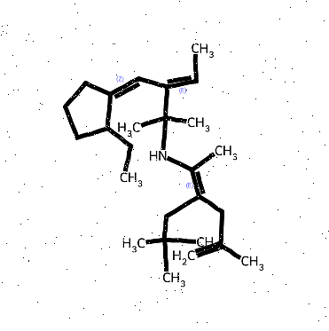 C=C(C)C/C(CC(C)(C)C)=C(\C)NC(C)(C)C(/C=C1/CCCC1CC)=C/C